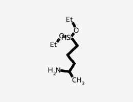 CCO[SiH](CCCC(C)N)OCC